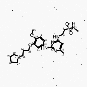 CNS(=O)(=O)CCNc1cc(C)nc(Nc2ccc(OC)c(OCCCN3CCCC3)c2)n1